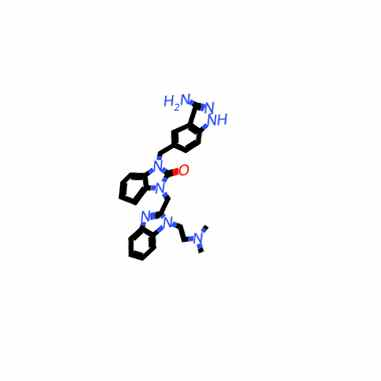 CN(C)CCn1c(Cn2c(=O)n(Cc3ccc4[nH]nc(N)c4c3)c3ccccc32)nc2ccccc21